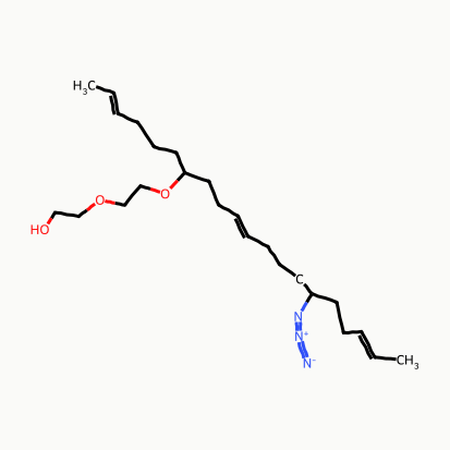 CC=CCCCC(CC/C=C/CCCC(CCC=CC)N=[N+]=[N-])OCCOCCO